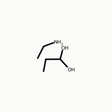 CCC(O)O.CCN